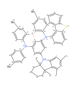 Cc1cc(C)c2c(c1)N(c1cc3c4c(c1)N(c1cccc5sc6ccccc6c15)c1ccc(C(C)(C)C)cc1B4c1cc(C(C)(C)C)ccc1N3c1ccc(C(C)(C)C)cc1)C1(C)CCCCC21C